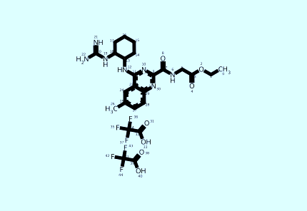 CCOC(=O)CNC(=O)c1nc(NC2CCCCC2NC(=N)N)c2cc(C)ccc2n1.O=C(O)C(F)(F)F.O=C(O)C(F)(F)F